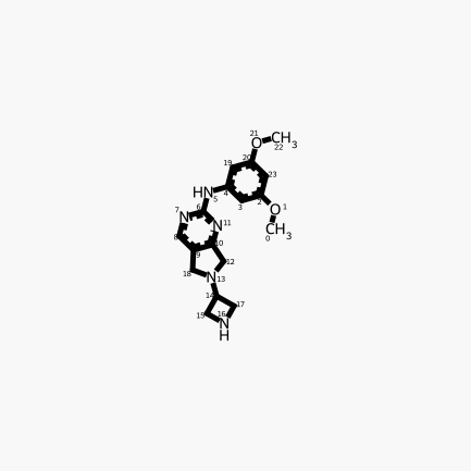 COc1cc(Nc2ncc3c(n2)CN(C2CNC2)C3)cc(OC)c1